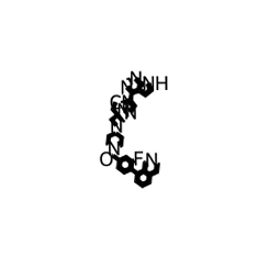 N#CCC1(n2cc(-c3ncnc4[nH]ccc34)cn2)CN(C2CCN(C(=O)c3ccc(-c4cccc5ccncc45)c(F)c3)CC2)C1